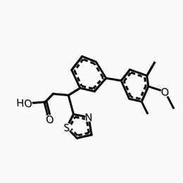 COc1c(C)cc(-c2cccc(C(CC(=O)O)c3nccs3)c2)cc1C